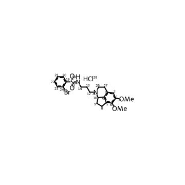 COc1cc2c3c(c1OC)CCC3N(CCCNS(=O)(=O)c1ccccc1Br)CC2.Cl